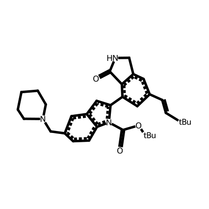 CC(C)(C)C=Cc1cc2c(c(-c3cc4cc(CN5CCCCC5)ccc4n3C(=O)OC(C)(C)C)c1)C(=O)NC2